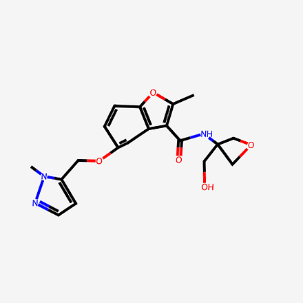 Cc1oc2ccc(OCc3ccnn3C)cc2c1C(=O)NC1(CO)COC1